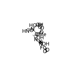 CC[C@H]1OC(=O)[C@H](C)C(=O)[C@H](C)[C@@H](O[C@@H]2C[C@H](C)C[C@H](N(C)CCc3cn([C@H](CF)[C@H](O)c4ccc(S(C)(=O)=O)cc4)nn3)[C@H]2O)[C@](C)(OC)C[C@@H](C)/C(=N\O[C@@H]2CCCNC2)[C@H](C)[C@@H](O)[C@]1(C)O